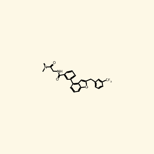 CN(C)C(=O)CNC(=O)c1cccc(-c2cccc3oc(Cc4cccc(C(F)(F)F)c4)cc23)c1